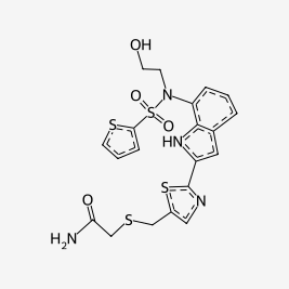 NC(=O)CSCc1cnc(-c2cc3cccc(N(CCO)S(=O)(=O)c4cccs4)c3[nH]2)s1